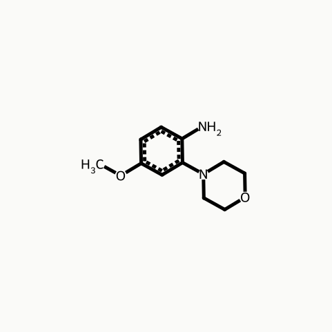 COc1ccc(N)c(N2CCOCC2)c1